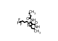 CSCC(=O)Nc1c2c(nn1CCCC(F)(F)F)CC(C)NC2=O